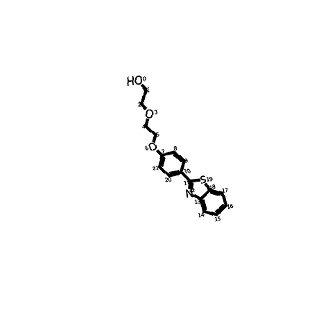 OCCOCCOc1ccc(-c2nc3ccccc3s2)cc1